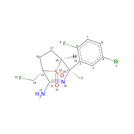 C[C@]1(c2cc(Br)ccc2F)N=C(N)[C@@]2(CF)CC[C@@H]1S2(=O)=O